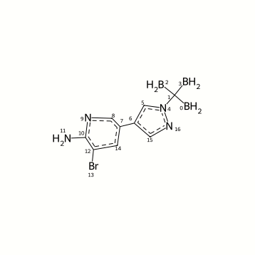 BC(B)(B)n1cc(-c2cnc(N)c(Br)c2)cn1